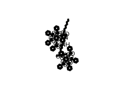 CCCCCCCCOc1c(O[C@@H]2O[C@H](COC(=O)c3ccccc3)[C@H](OC(=O)c3ccccc3)[C@H](OC(=O)c3ccccc3)[C@H]2OC(=O)c2ccccc2)c2ccc(NC(=O)C=Cc3cc(OC)c(O[C@@H]4O[C@H](COC(=O)c5ccccc5)[C@H](OC(=O)c5ccccc5)[C@H](OC(=O)c5ccccc5)[C@H]4OC(=O)c4ccccc4)c(OC)c3)cc2n(C)c1=O